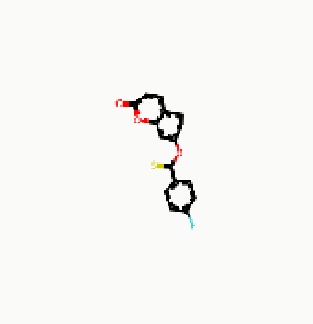 O=c1ccc2ccc(OC(=S)c3ccc(F)cc3)cc2o1